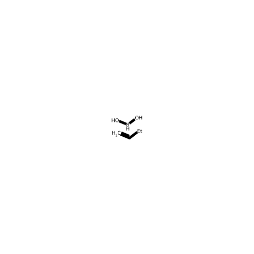 C=CCC.OBO